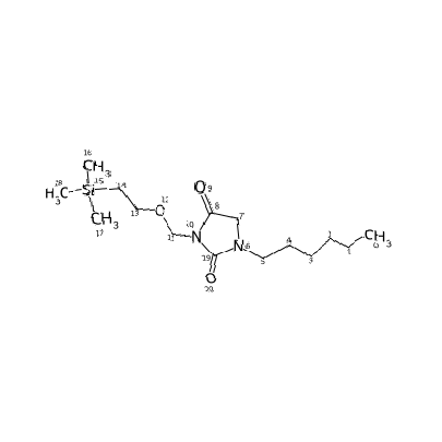 CCCCCCN1CC(=O)N(COCC[Si](C)(C)C)C1=O